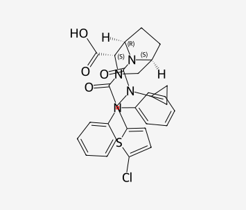 O=C(O)[C@@H]1[C@H]2CC[C@@H](CN1C(=O)N(c1ccccc1)c1ccccc1)N2C(=O)N(Cc1ccc(Cl)s1)C1CC1